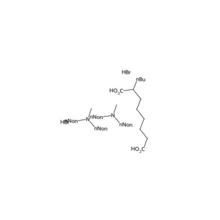 Br.Br.CCCCC(CCCCCC(=O)O)C(=O)O.CCCCCCCCCN(C)CCCCCCCCC.CCCCCCCCCN(C)CCCCCCCCC